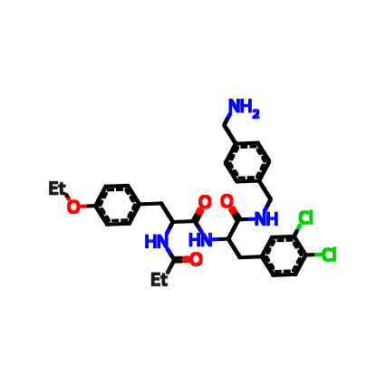 CCOc1ccc(CC(NC(=O)CC)C(=O)NC(Cc2ccc(Cl)c(Cl)c2)C(=O)NCc2ccc(CN)cc2)cc1